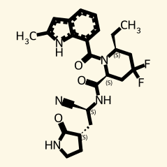 CC[C@H]1CC(F)(F)C[C@@H](C(=O)N[C@H](C#N)C[C@@H]2CCNC2=O)N1C(=O)c1cccc2cc(C)[nH]c12